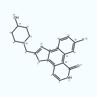 O=c1[nH]ccc2c3sc(CN4CCC(O)CC4)nc3c3ccc(F)cc3c12